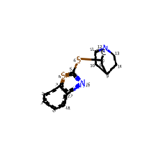 c1ccc2sc(SC3CC4CCN(CC4)C3)nc2c1